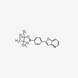 CC1(C)OB(c2ccc(-c3cc4ncccc4o3)cc2)OC1(C)C